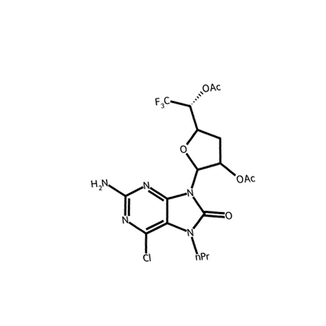 CCCn1c(=O)n(C2OC([C@@H](OC(C)=O)C(F)(F)F)CC2OC(C)=O)c2nc(N)nc(Cl)c21